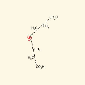 C/C(=C\CC/C=C(\C)CCCCCCC(=O)OC(=O)CCCCCC/C(C)=C/CC/C=C(\C)CCCCCCC(=O)O)CCCCCCC(=O)O